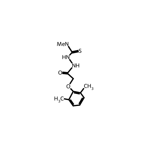 CNC(=S)NNC(=O)COc1c(C)cccc1C